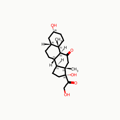 C[C@]12CC[C@@H](O)C[C@H]1CC[C@@H]1[C@@H]2C(=O)C[C@@]2(C)[C@H]1CC[C@]2(O)C(=O)CO